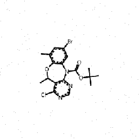 Cc1cc(Br)cc2c1OC(C)c1c(Cl)ncnc1N2C(=O)OC(C)(C)C